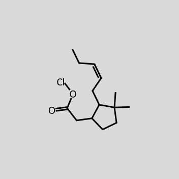 CC/C=C\CC1C(CC(=O)OCl)CCC1(C)C